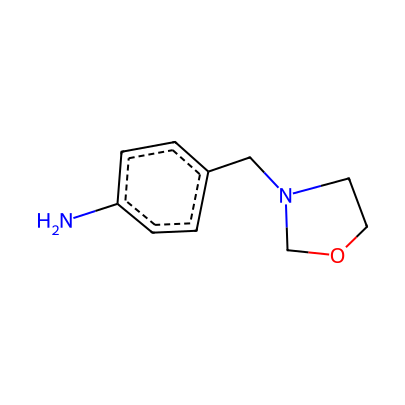 Nc1ccc(CN2CCOC2)cc1